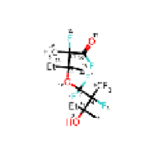 CCC(C)(O)C(F)(C(F)(F)F)C(F)(F)OC(C)(CC)C(F)(C(=O)F)C(F)(F)F